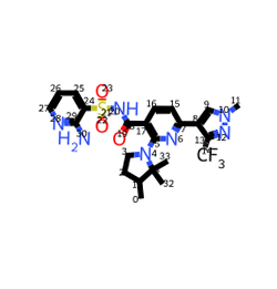 CC1CCN(c2nc(-c3cn(C)nc3C(F)(F)F)ccc2C(=O)NS(=O)(=O)c2cccnc2N)C1(C)C